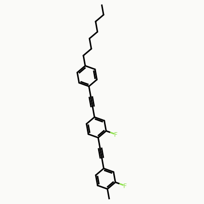 CCCCCCCc1ccc(C#Cc2ccc(C#Cc3ccc(C)c(F)c3)c(F)c2)cc1